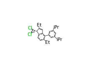 CCC1=Cc2c(ccc(CC)c2-c2cc(C(C)C)cc(C(C)C)c2)[CH]1[Zr]([Cl])[Cl]